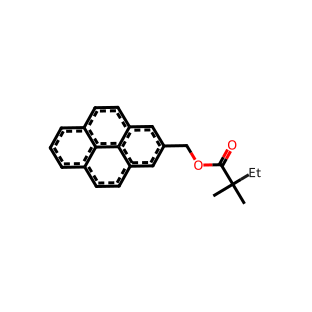 CCC(C)(C)C(=O)OCc1cc2ccc3cccc4ccc(c1)c2c34